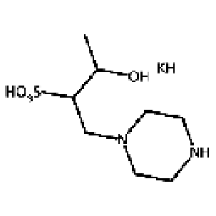 CC(O)C(CN1CCNCC1)S(=O)(=O)O.[KH]